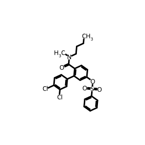 CCCCN(C)C(=O)c1ccc(OS(=O)(=O)c2ccccc2)cc1-c1ccc(Cl)c(Cl)c1